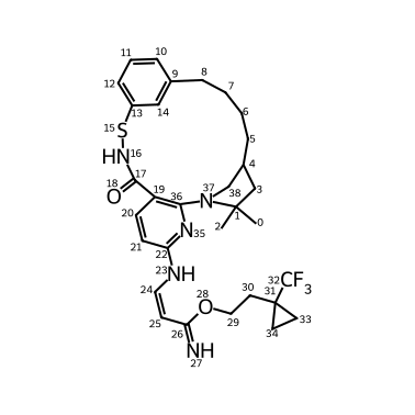 CC1(C)CC2CCCCc3cccc(c3)SNC(=O)c3ccc(N/C=C\C(=N)OCCC4(C(F)(F)F)CC4)nc3N1C2